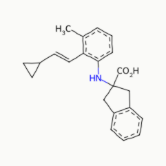 Cc1cccc(NC2(C(=O)O)Cc3ccccc3C2)c1C=CC1CC1